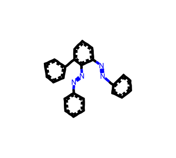 c1ccc(N=Nc2cccc(-c3ccccc3)c2N=Nc2ccccc2)cc1